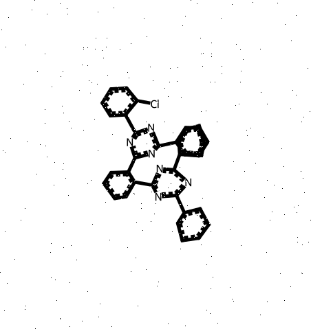 Clc1ccccc1-c1nc(-c2ccccc2)nc(-c2ccccc2-c2nc(-c3ccccc3)nc(-c3ccccc3)n2)n1